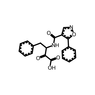 O=C(O)C(=O)C(Cc1ccccc1)NC(=O)c1cnoc1-c1ccccc1